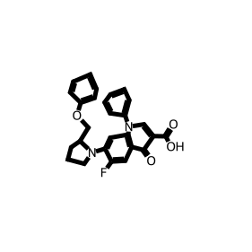 O=C(O)c1cn(-c2ccccc2)c2cc(N3CCCC3COc3ccccc3)c(F)cc2c1=O